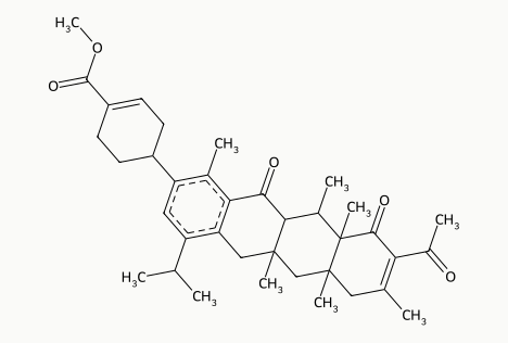 COC(=O)C1=CCC(c2cc(C(C)C)c3c(c2C)C(=O)C2C(C)C4(C)C(=O)C(C(C)=O)=C(C)CC4(C)CC2(C)C3)CC1